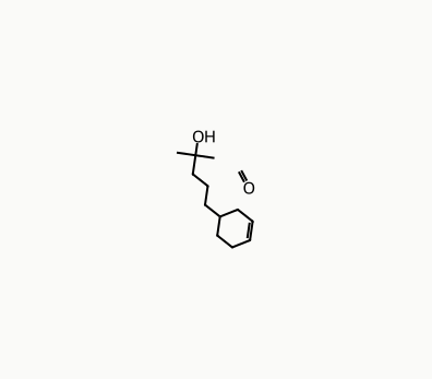 C=O.CC(C)(O)CCCC1CC=CCC1